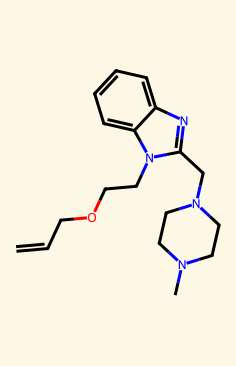 C=CCOCCn1c(CN2CCN(C)CC2)nc2ccccc21